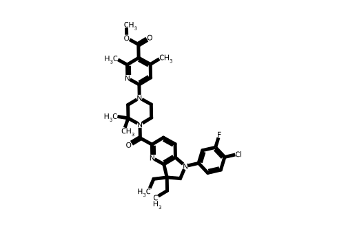 CCC1(CC)CN(c2ccc(Cl)c(F)c2)c2ccc(C(=O)N3CCN(c4cc(C)c(C(=O)OC)c(C)n4)CC3(C)C)nc21